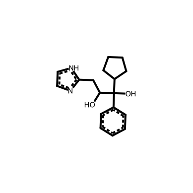 OC(Cc1ncc[nH]1)C(O)(c1ccccc1)C1CCCC1